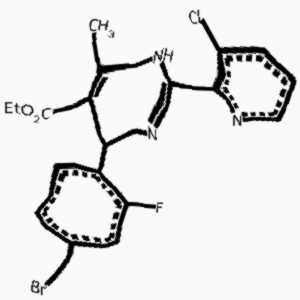 CCOC(=O)C1=C(C)NC(c2ncccc2Cl)=NC1c1ccc(Br)cc1F